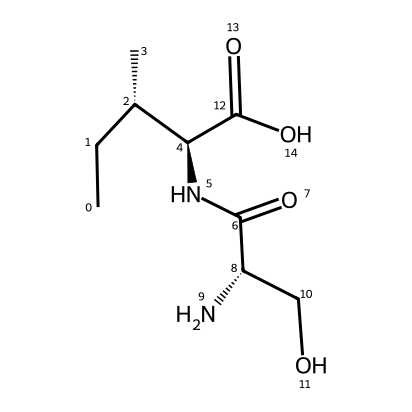 CC[C@H](C)[C@H](NC(=O)[C@@H](N)CO)C(=O)O